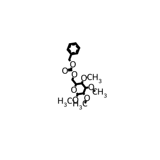 COC1OC(COC(=O)OCc2ccccc2)C(OC)C(OC)C1OC